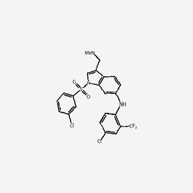 CNCc1cn(S(=O)(=O)c2cccc(Cl)c2)c2cc(Nc3ccc(Cl)cc3C(F)(F)F)ccc12